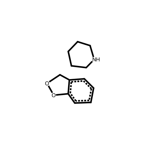 C1CCNCC1.c1ccc2c(c1)COO2